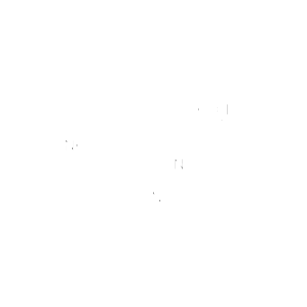 CCOC(=O)c1cc2c3cc(C#N)ccc3ncn2c1